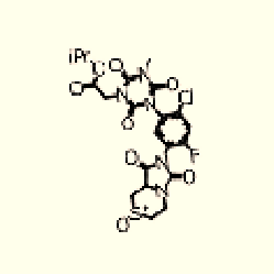 CC(C)OC(=O)Cn1c(=O)n(C)c(=O)n(-c2cc(N3C(=O)C4C[S+]([O-])CCN4C3=O)c(F)cc2Cl)c1=O